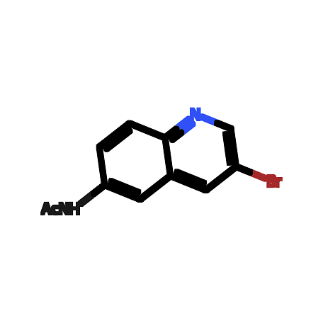 CC(=O)Nc1ccc2ncc(Br)cc2c1